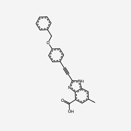 Cc1cc(C(=O)O)c2nc(C#Cc3ccc(OCc4ccccc4)cc3)[nH]c2c1